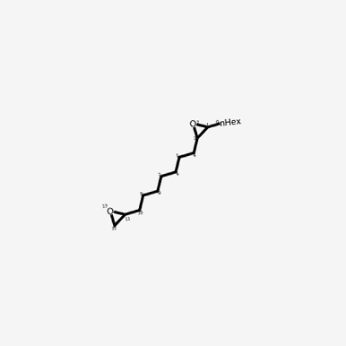 CCCCCCC1OC1CCCCCCCC1CO1